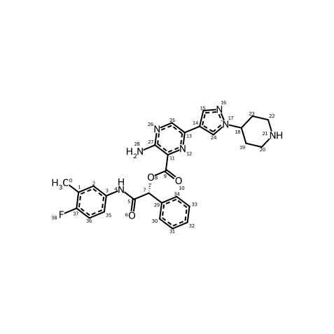 Cc1cc(NC(=O)[C@H](OC(=O)c2nc(-c3cnn(C4CCNCC4)c3)cnc2N)c2ccccc2)ccc1F